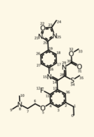 CCc1cc(OCCN(C)C)c(F)c(C(=Nc2ccc(-c3noc(C)n3)cc2)C(=NC(=O)OC)SC)c1